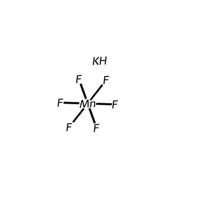 [F][Mn]([F])([F])([F])([F])[F].[KH]